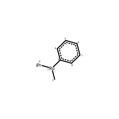 C[CH](C)[Ru]([CH3])[c]1ccccc1